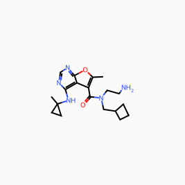 Cc1oc2ncnc(NC3(C)CC3)c2c1C(=O)N(CCN)CC1CCC1